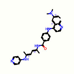 C=c1nccc(Nc2ccc(C(=O)N/C(C)=C/C=C(\C)Nc3ccncc3)cc2)/c1=C/C(=C\C)N(C)C